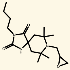 CCCCN1C(=O)NC2(CC(C)(C)N(CC3CO3)C(C)(C)C2)C1=O